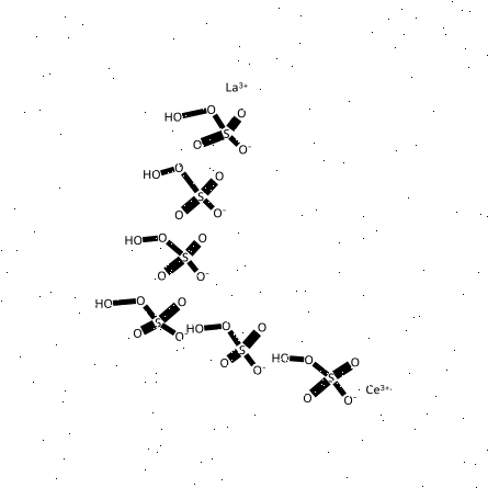 O=S(=O)([O-])OO.O=S(=O)([O-])OO.O=S(=O)([O-])OO.O=S(=O)([O-])OO.O=S(=O)([O-])OO.O=S(=O)([O-])OO.[Ce+3].[La+3]